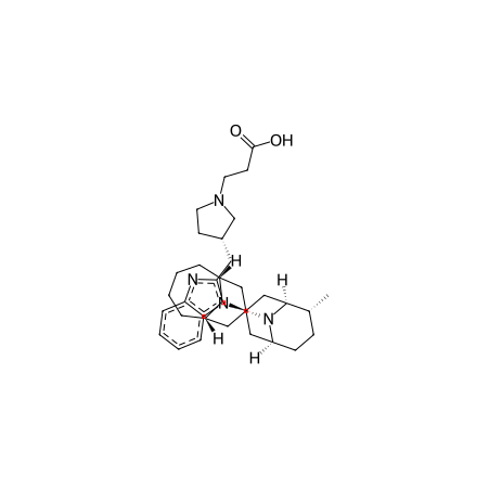 C[C@@H]1CC[C@H]2C[C@@H](n3c(C[C@@H]4CCN(CCC(=O)O)C4)nc4ccccc43)C[C@@H]1N2[C@@H]1C[C@@H]2CCCC[C@@H](C2)C1